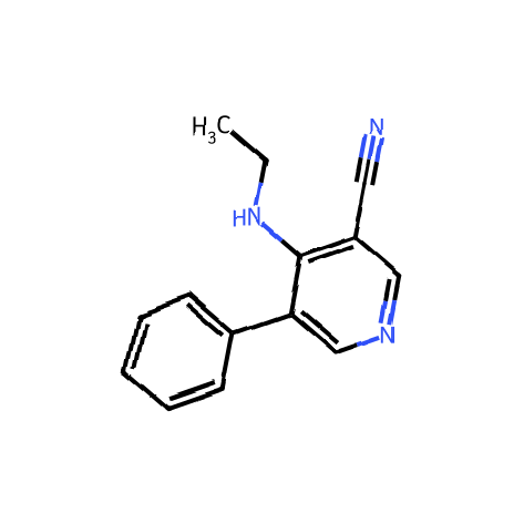 CCNc1c(C#N)cncc1-c1ccccc1